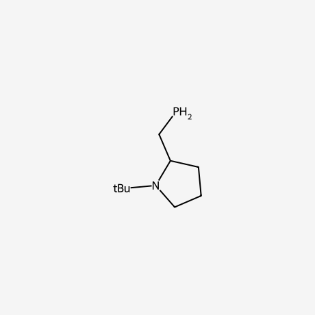 CC(C)(C)N1CCCC1CP